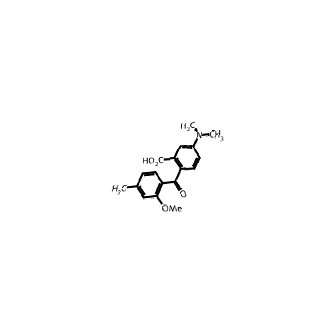 COc1cc(C)ccc1C(=O)c1ccc(N(C)C)cc1C(=O)O